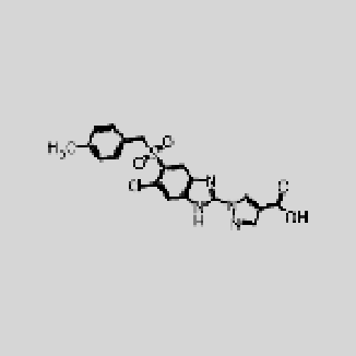 Cc1ccc(CS(=O)(=O)c2cc3nc(-n4cc(C(=O)O)cn4)[nH]c3cc2Cl)cc1